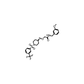 COc1cccc(CNC(=O)CON=C2CCN(S(=O)(=O)c3cccc(C(F)(F)F)c3)CC2)c1